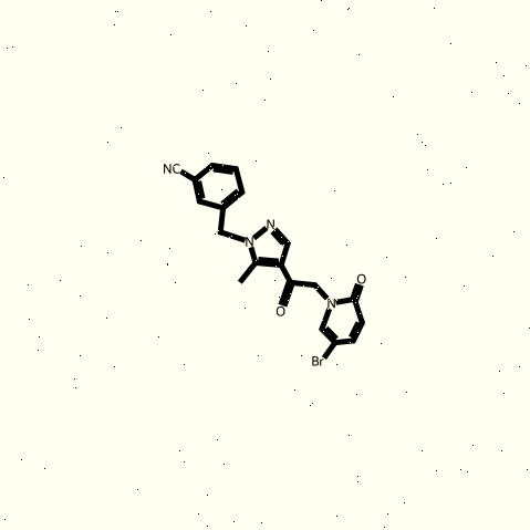 Cc1c(C(=O)Cn2cc(Br)ccc2=O)cnn1Cc1cccc(C#N)c1